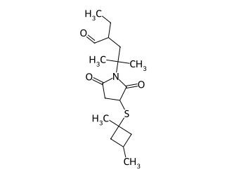 CCC(C=O)CC(C)(C)N1C(=O)CC(SC2(C)CC(C)C2)C1=O